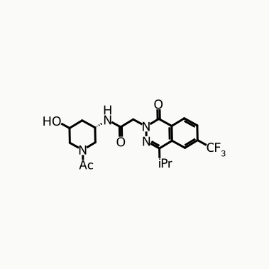 CC(=O)N1CC(O)C[C@H](NC(=O)Cn2nc(C(C)C)c3cc(C(F)(F)F)ccc3c2=O)C1